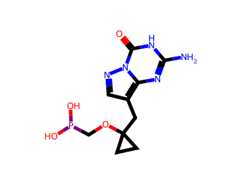 Nc1nc2c(CC3(OCP(O)O)CC3)cnn2c(=O)[nH]1